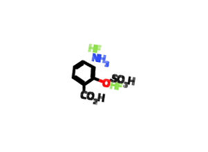 F.F.N.O=C(O)c1ccccc1OS(=O)(=O)O